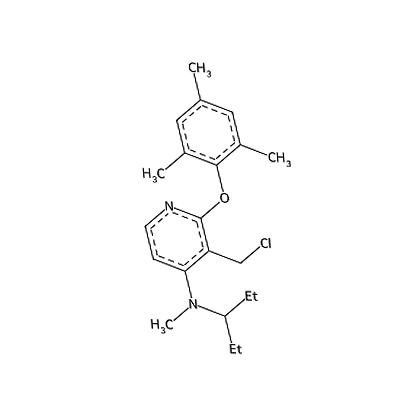 CCC(CC)N(C)c1ccnc(Oc2c(C)cc(C)cc2C)c1CCl